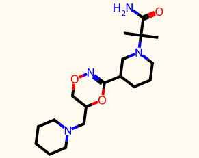 CC(C)(C(N)=O)N1CCCC(C2=NOCC(CN3CCCCC3)O2)C1